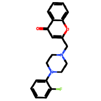 O=c1cc(CN2CCN(c3ccccc3F)CC2)oc2ccccc12